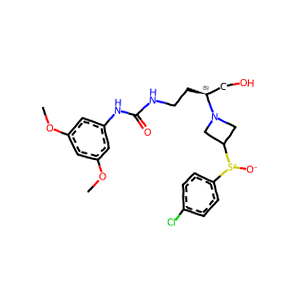 COc1cc(NC(=O)NCC[C@@H](CO)N2CC([S+]([O-])c3ccc(Cl)cc3)C2)cc(OC)c1